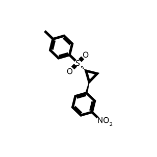 Cc1ccc(S(=O)(=O)[C@@H]2C[C@H]2c2cccc([N+](=O)[O-])c2)cc1